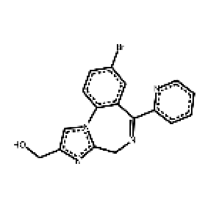 OCc1cn2c(n1)CN=C(c1ccccn1)c1cc(Br)ccc1-2